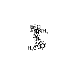 CCC(=O)C1(c2ccccc2)CCN(C(=O)Cn2nc(C(F)(F)F)c(Cl)c2C)CC1